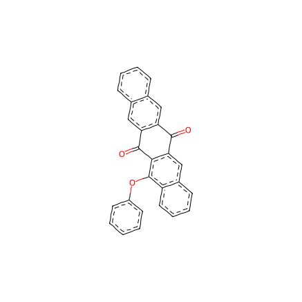 O=C1c2cc3ccccc3cc2C(=O)c2c1cc1ccccc1c2Oc1ccccc1